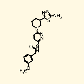 Nc1nnc(C2CCCN(c3ccc(NC(=O)Cc4cccc(OC(F)(F)F)c4)nn3)C2)s1